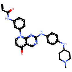 C=CC(=O)Nc1cccc(-n2ccc(=O)c3cnc(Nc4ccc(NC5CCN(C)CC5)cc4)nc32)c1